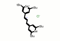 CC(C)(C)C1=CC(=C/C=C/c2cc(C(C)(C)C)[se+]c(C(C)(C)C)c2)C=C(C(C)(C)C)[Se]1.[Cl-]